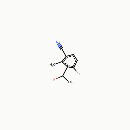 Cc1c(C#N)ccc(F)c1C(C)Br